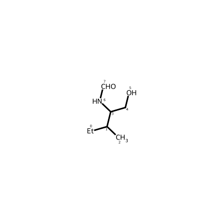 CCC(C)C(CO)NC=O